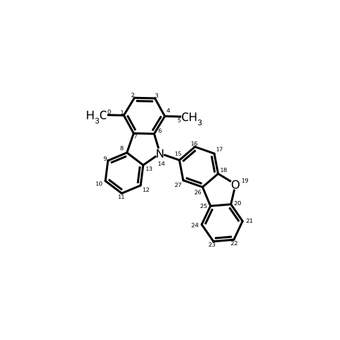 Cc1ccc(C)c2c1c1ccccc1n2-c1ccc2oc3ccccc3c2c1